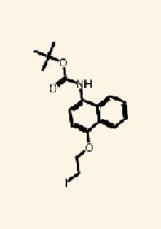 CC(C)(C)OC(=O)Nc1ccc(OCCI)c2ccccc12